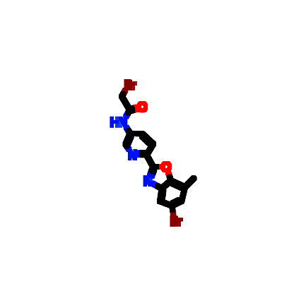 Cc1cc(Br)cc2nc(-c3ccc(NC(=O)CBr)cn3)oc12